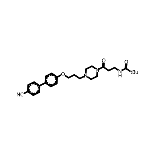 CC(C)(C)C(=O)NCCC(=O)N1CCN(CCCOc2ccc(-c3ccc(C#N)cc3)cc2)CC1